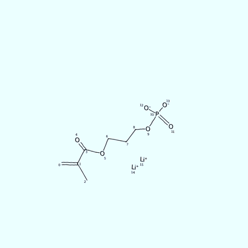 C=C(C)C(=O)OCCCOP(=O)([O-])[O-].[Li+].[Li+]